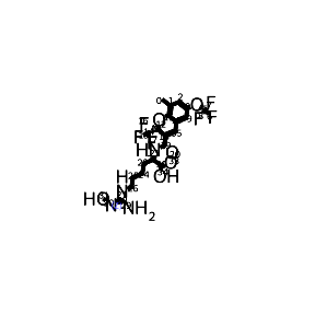 Cc1cc(OC(F)(F)F)cc2c1O[C@H](C(F)(F)F)C(C(=O)NC(CCCCN/C(N)=N\O)C(=O)O)=C2